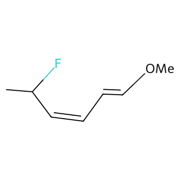 CO/C=C/C=C\C(C)F